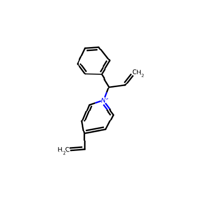 C=Cc1cc[n+](C(C=C)c2ccccc2)cc1